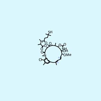 COC1/C=C/C=C(\C)Cc2cc(C)c(Cl)c(c2)N(C)C(=O)CC(OC(=O)C(C)N(C)C(=O)CCC(C)(C)S)C2(C)OC2C(C)C2CC1(O)NC(=O)O2